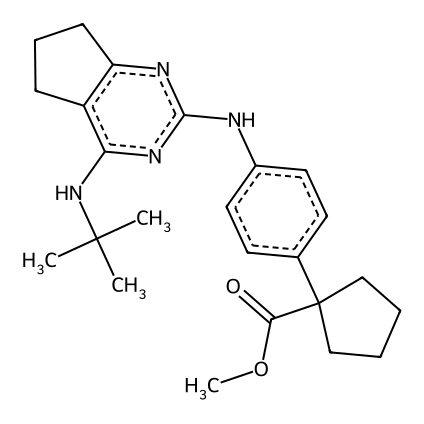 COC(=O)C1(c2ccc(Nc3nc4c(c(NC(C)(C)C)n3)CCC4)cc2)CCCC1